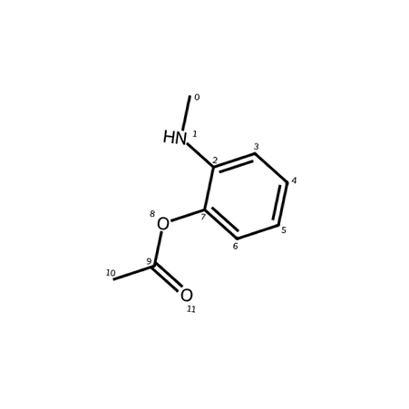 CNc1ccccc1OC(C)=O